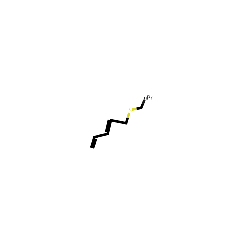 C=CC=CCSCCCC